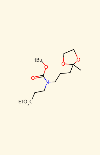 CCOC(=O)CCN(CCCC1(C)OCCO1)C(=O)OC(C)(C)C